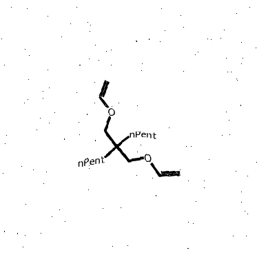 C=COCC(CCCCC)(CCCCC)COC=C